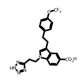 O=C(O)c1ccc2c(c1)c(CCc1ccc(OC(F)(F)F)cc1)cn2CCc1nn[nH]n1